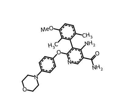 COc1ccc(C)c(-c2c(Oc3ccc(N4CCOCC4)cc3)ncc(C(N)=O)c2N)c1C